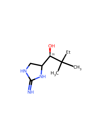 CCC(C)(C)[C@H](O)C1CNC(=N)N1